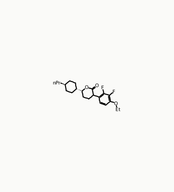 CCC[C@H]1CC[C@H](C2CCC(c3ccc(OCC)c(F)c3F)C(=O)O2)CC1